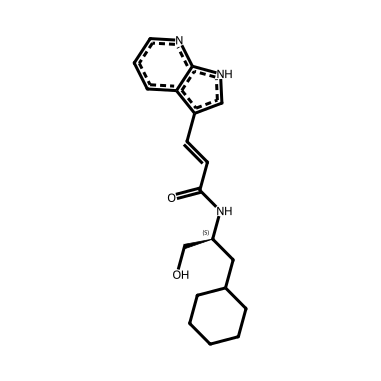 O=C(C=Cc1c[nH]c2ncccc12)N[C@H](CO)CC1CCCCC1